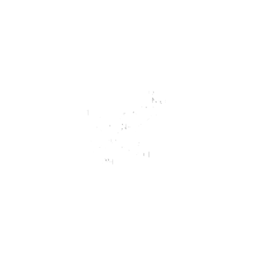 O=C1c2cc(F)ccc2C(OCC2(CO)CC2)(c2ccc(Cl)cc2)N1Cc1ccc([N+](=O)[O-])cc1